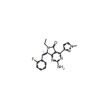 CCN1C(=O)c2c(nc(N)nc2-c2ccn(C)n2)/C1=C\c1ccccc1F